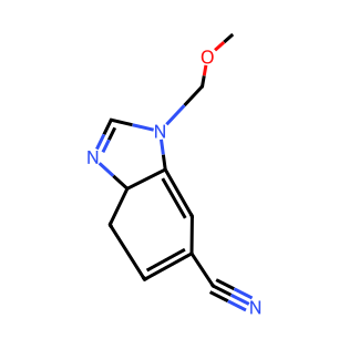 COCN1C=NC2CC=C(C#N)C=C21